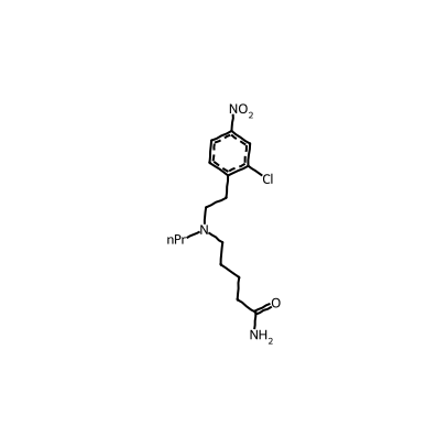 CCCN(CCCCC(N)=O)CCc1ccc([N+](=O)[O-])cc1Cl